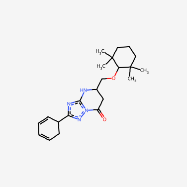 CC1(C)CCCC(C)(C)C1OCC1CC(=O)n2nc(C3C=CC=CC3)nc2N1